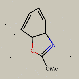 COC1=NC2C=CC=CC2O1